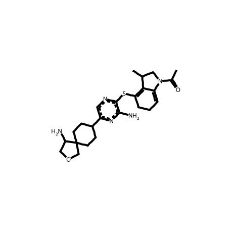 CC(=O)N1CC(C)C2=C(Sc3ncc(C4CCC5(CC4)COCC5N)nc3N)CCC=C21